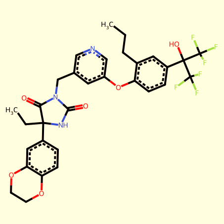 CCCc1cc(C(O)(C(F)(F)F)C(F)(F)F)ccc1Oc1cncc(CN2C(=O)NC(CC)(c3ccc4c(c3)OCCO4)C2=O)c1